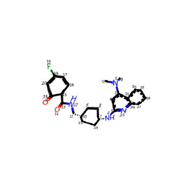 CN(C)c1cc(N[C@H]2CC[C@@H](CNC(=O)C3C=CC(F)=CC3=O)CC2)nc2ccccc12